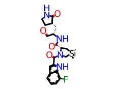 C[Si]1(C)C[C@@H](C(=O)N[C@H](C=O)C[C@@H]2CCNC2=O)N(C(=O)c2cc3cccc(F)c3[nH]2)C1